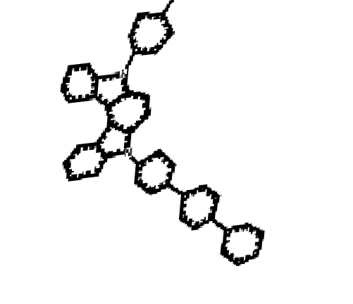 Ic1ccc(-n2c3ccccc3c3c4c5ccccc5n(-c5ccc(-c6ccc(-c7ccccc7)cc6)cc5)c4ccc32)cc1